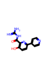 N=C(N)NC(=O)c1nc(-c2ccncc2)ccc1O